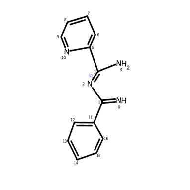 N=C(/N=C(\N)c1ccccn1)c1ccccc1